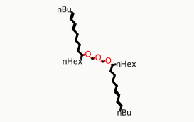 CCCCC=CC=CCCCCC(CCCCCC)OCOCOC(CCCCC=CC=CCCCC)CCCCCC